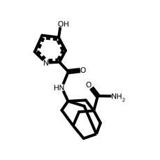 NC(=O)C12CC3CC(CC(NC(=O)c4cc(O)ccn4)(C3)C1)C2